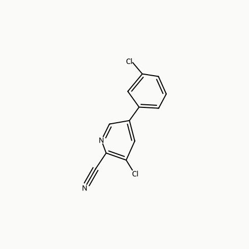 N#Cc1ncc(-c2cccc(Cl)c2)cc1Cl